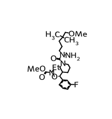 CCN(O[C@@H](c1cccc(F)c1)C1CCCN(C(=O)N(N)CCCC(C)(C)COC)C1)C(=O)OC